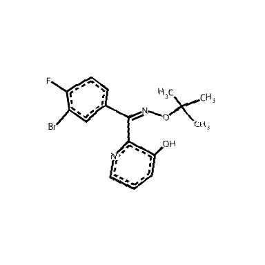 CC(C)(C)ON=C(c1ccc(F)c(Br)c1)c1ncccc1O